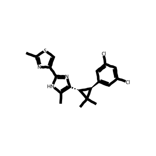 Cc1nc(-c2nc([C@@H]3[C@@H](c4cc(Cl)cc(Cl)c4)C3(C)C)c(C)[nH]2)cs1